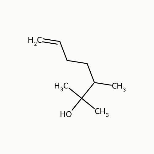 C=CCCC(C)C(C)(C)O